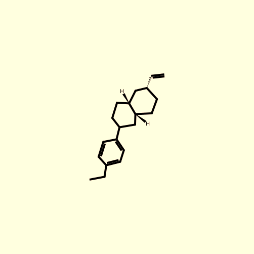 C=C[C@@H]1CC[C@@H]2CC(c3ccc(CC)cc3)CC[C@@H]2C1